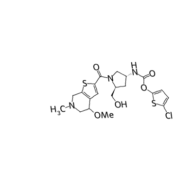 COC1CN(C)Cc2sc(C(=O)N3C[C@H](NC(=O)Oc4ccc(Cl)s4)C[C@H]3CO)cc21